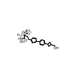 CC(CCc1ccc(-c2ccc(C3CC(CO)C3)cc2)cc1)(C(=O)NO)S(C)(=O)=O